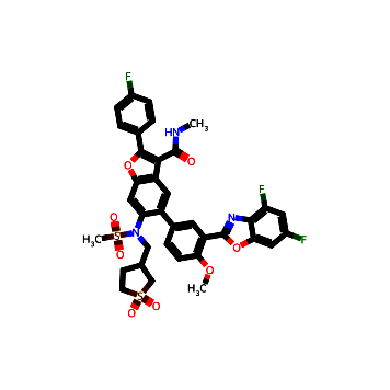 CNC(=O)c1c(-c2ccc(F)cc2)oc2cc(N(CC3CCS(=O)(=O)C3)S(C)(=O)=O)c(-c3ccc(OC)c(-c4nc5c(F)cc(F)cc5o4)c3)cc12